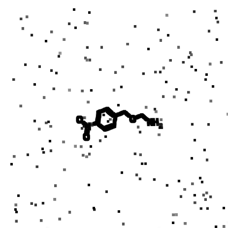 NCOCc1ccc([N+](=O)[O-])cc1